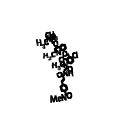 CNC(=O)c1ccc(C=CC(=O)NCC(=O)N(C)c2ccc(Cl)c(COc3cccc4c(OCC(=O)N(C)C)cc(C)nc34)c2Cl)cc1